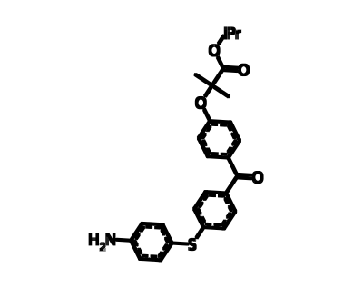 CC(C)OC(=O)C(C)(C)Oc1ccc(C(=O)c2ccc(Sc3ccc(N)cc3)cc2)cc1